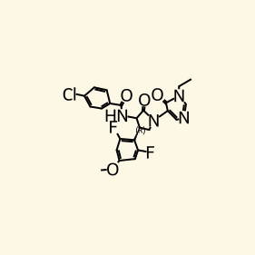 CCn1cncc(N2C[C@@H](c3c(F)cc(OC)cc3F)C(NC(=O)c3ccc(Cl)cc3)C2=O)c1=O